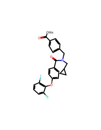 COC(=O)c1ccc(CN(CC2CC2)C(=O)c2ccc(Oc3c(F)cccc3F)cc2)cc1